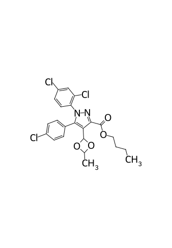 CCCCOC(=O)c1nn(-c2ccc(Cl)cc2Cl)c(-c2ccc(Cl)cc2)c1C1OC(C)O1